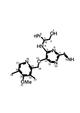 CCC[C@@H](CO)Nc1nc(C=N)ncc1OCc1ncc(C)c(OC)c1C